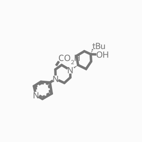 CC(=O)O.CC(C)(C)[C@]1(O)CC[C@H](N2CCN(c3ccncc3)CC2)CC1